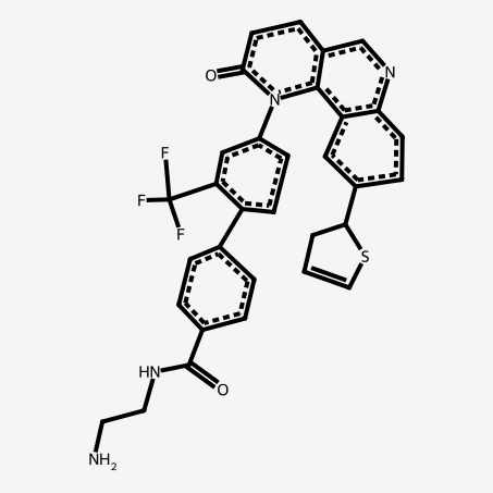 NCCNC(=O)c1ccc(-c2ccc(-n3c(=O)ccc4cnc5ccc(C6CC=CS6)cc5c43)cc2C(F)(F)F)cc1